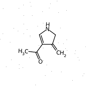 C=C1CNC=C1C(C)=O